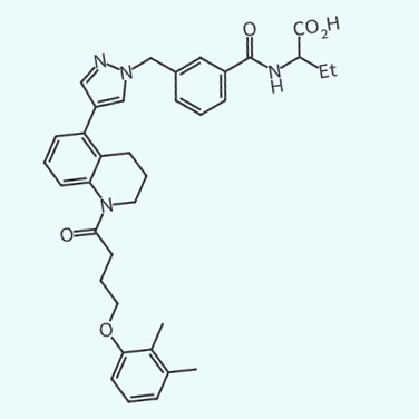 CCC(NC(=O)c1cccc(Cn2cc(-c3cccc4c3CCCN4C(=O)CCCOc3cccc(C)c3C)cn2)c1)C(=O)O